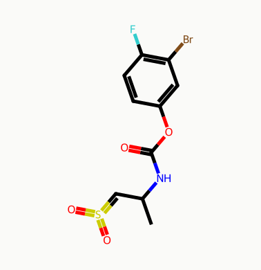 CC(C=S(=O)=O)NC(=O)Oc1ccc(F)c(Br)c1